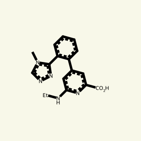 CCNc1cc(-c2ccccc2-c2nncn2C)cc(C(=O)O)n1